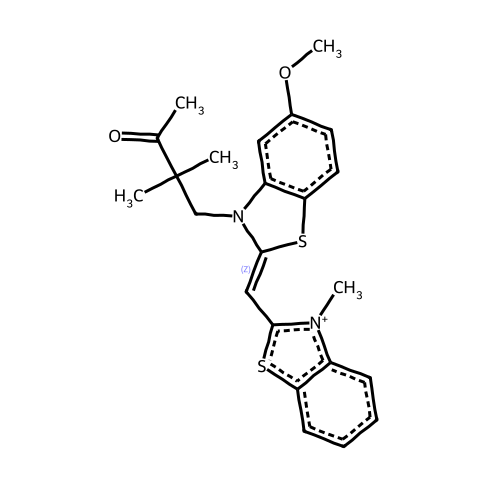 COc1ccc2c(c1)N(CC(C)(C)C(C)=O)/C(=C/c1sc3ccccc3[n+]1C)S2